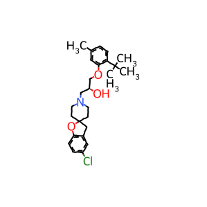 Cc1ccc(C(C)(C)C)c(OC[C@@H](O)CN2CCC3(CC2)Cc2cc(Cl)ccc2O3)c1